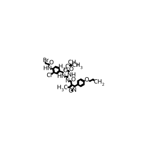 C=CCOc1ccc(-c2noc(C)c2C(=O)/N=C(/NCc2ccc(NC(=O)CBr)c(Cl)c2)NC(=O)OC(C)(C)C)cc1